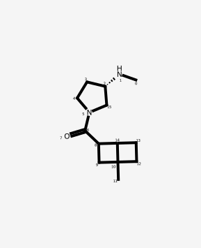 CN[C@H]1CCN(C(=O)C2CC3(C)CCC23)C1